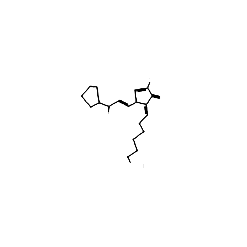 O=C(O)CCCCCC=C1C(=O)C(Cl)=CC1C=CC(O)C1CCCC1